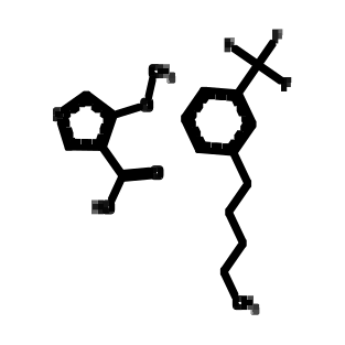 CCCCCc1cccc(C(F)(F)F)c1.COc1cscc1C(=O)O